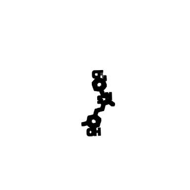 Cc1cc(CCc2sc(-c3ccc(C(F)(F)F)cc3)nc2C)ccc1O